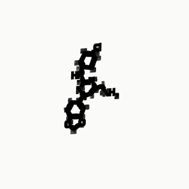 NCc1cc(-c2ccc3c(c2)OCO3)nc(Nc2ccc(Cl)cc2)n1